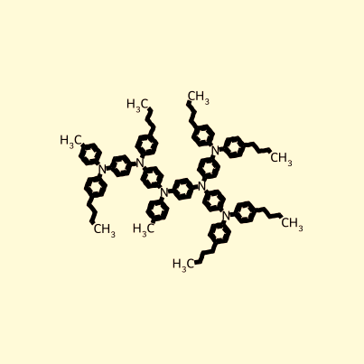 CCCCc1ccc(N(c2ccc(C)cc2)c2ccc(N(c3ccc(CCCC)cc3)c3ccc(N(c4ccc(C)cc4)c4ccc(N(c5ccc(N(c6ccc(CCCC)cc6)c6ccc(CCCC)cc6)cc5)c5ccc(N(c6ccc(CCCC)cc6)c6ccc(CCCC)cc6)cc5)cc4)cc3)cc2)cc1